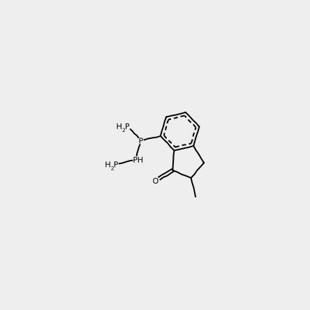 CC1Cc2cccc(P(P)PP)c2C1=O